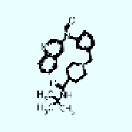 CC(C)(C)NC(=O)C1CCN(Cc2cccc(N(C=O)c3cnc4ccccc4c3)c2)CC1